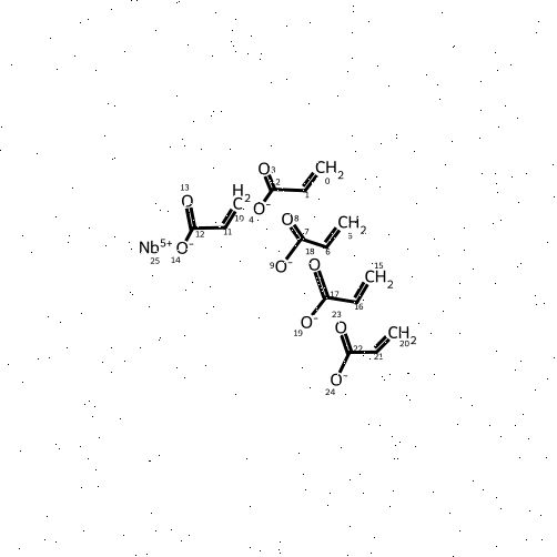 C=CC(=O)[O-].C=CC(=O)[O-].C=CC(=O)[O-].C=CC(=O)[O-].C=CC(=O)[O-].[Nb+5]